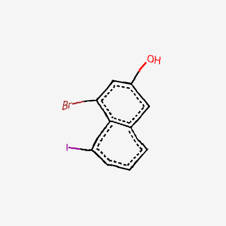 Oc1cc(Br)c2c(I)cccc2c1